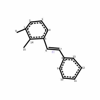 Cc1cccc(/C=C/c2ccccc2)c1C